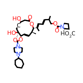 C/C(=C\C=C\C(C)COC(=O)N1CCC[C@@H]1C(=O)O)[C@H]1OC(=O)C[C@@H](O)CC[C@](C)(O)[C@@H](OC(=O)N2CCN(C3CCCCCC3)CC2)/C=C/[C@@H]1C